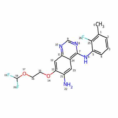 Cc1cccc(Nc2ncnc3cc(OCCOC(F)F)c(N)cc23)c1F